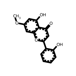 COc1cc(O)c2c(=O)cc(-c3ccccc3O)oc2c1